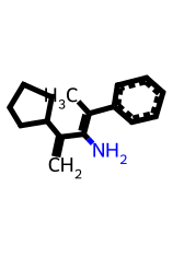 C=C(/C(N)=C(\C)c1ccccc1)C1CCCC1